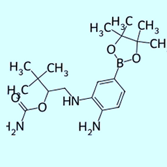 CC(C)(C)C(CNc1cc(B2OC(C)(C)C(C)(C)O2)ccc1N)OC(N)=O